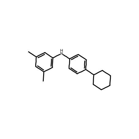 Cc1cc(C)cc(Nc2ccc(C3CCCCC3)cc2)c1